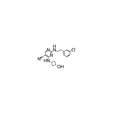 N#Cc1cnc(NCCc2cccc(Cl)c2)nc1N[C@H]1C[C@@H](O)C1